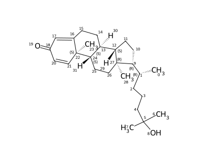 C[C@H](CCCC(C)(C)O)[C@H]1CC[C@H]2[C@@H]3CCC4=CC(=O)C=C[C@]4(C)[C@H]3CC[C@]12C